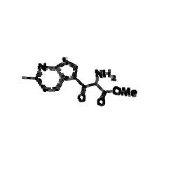 COC(=O)C(N)C(=O)c1csc2nc(C)ccc12